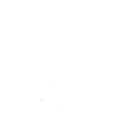 Cc1cc(Nc2nccc(C)n2)cc(-c2cccc(CCC(=O)O)n2)c1